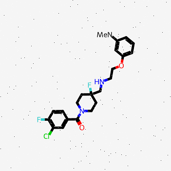 CNc1cccc(OCCNCC2(F)CCN(C(=O)c3ccc(F)c(Cl)c3)CC2)c1